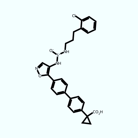 O=C(O)C1(c2ccc(-c3ccc(-c4oncc4N[S+]([O-])NCCCc4ccccc4Cl)cc3)cc2)CC1